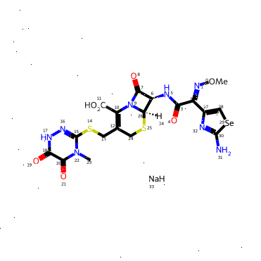 CON=C(C(=O)N[C@@H]1C(=O)N2C(C(=O)O)=C(CSc3n[nH]c(=O)c(=O)n3C)CS[C@H]12)c1c[se]c(N)n1.[NaH]